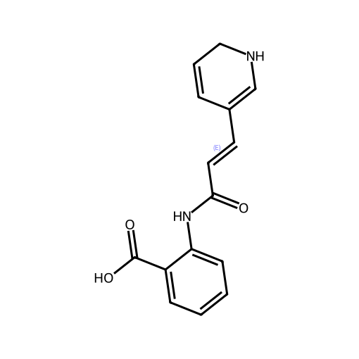 O=C(/C=C/C1=CNCC=C1)Nc1ccccc1C(=O)O